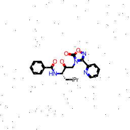 CC(C)C[C@H](NC(=O)c1ccccc1)C(=O)Cn1c(-c2ccccn2)noc1=O